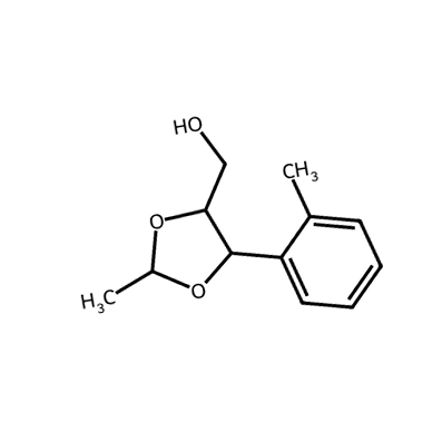 Cc1ccccc1C1OC(C)OC1CO